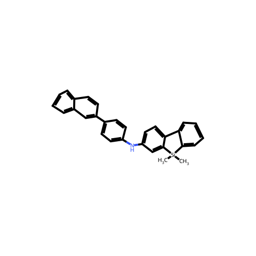 C[Si]1(C)c2ccccc2-c2ccc(Nc3ccc(-c4ccc5ccccc5c4)cc3)cc21